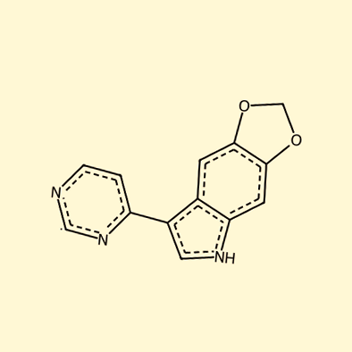 [c]1nccc(-c2c[nH]c3cc4c(cc23)OCO4)n1